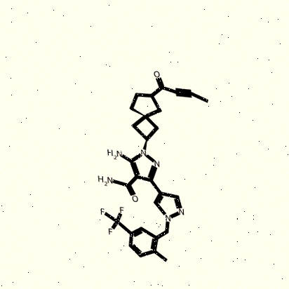 CC#CC(=O)C1CC[C@]2(C1)C[C@H](n1nc(-c3cnn(Cc4cc(C(F)(F)F)ccc4C)c3)c(C(N)=O)c1N)C2